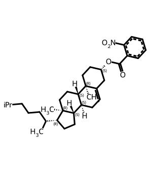 CC(C)CCCC(C)[C@H]1CC[C@H]2[C@@H]3CC=C4C[C@@H](OC(=O)c5ccccc5[N+](=O)[O-])CC[C@]4(C)[C@H]3CC[C@]12C